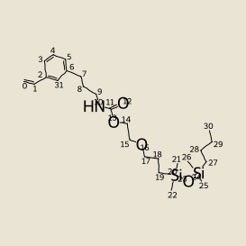 C=Cc1cccc(CCCNC(=O)OCCOCCC[Si](C)(C)O[Si](C)(C)CCCC)c1